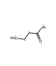 CCCC(=O)CC[C]=O